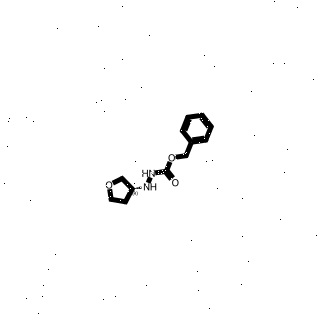 O=C(NN[C@@H]1CCOC1)OCc1ccccc1